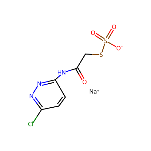 O=C(CSS(=O)(=O)[O-])Nc1ccc(Cl)nn1.[Na+]